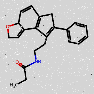 CCC(=O)NCCC1=C(c2ccccc2)CC2=C1C1=CCOC1C=C2